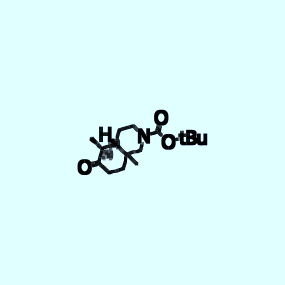 C[C@@H]1C(=O)CCC2(C)CN(C(=O)OC(C)(C)C)CC[C@@H]12